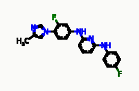 Cc1cn(-c2ccc(Nc3cccc(Nc4ccc(F)cc4)n3)cc2F)cn1